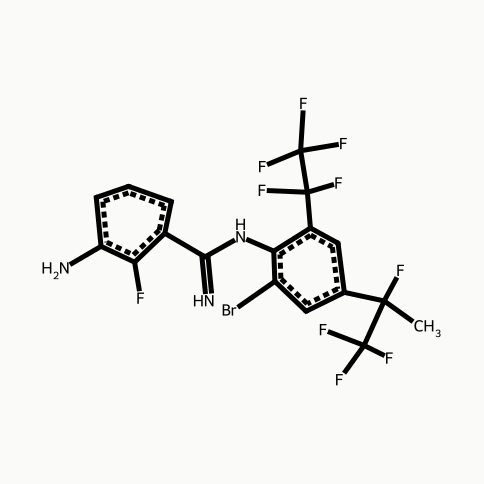 CC(F)(c1cc(Br)c(NC(=N)c2cccc(N)c2F)c(C(F)(F)C(F)(F)F)c1)C(F)(F)F